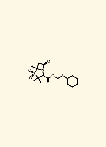 CC1(C)[C@H](C(=O)OCSC2CCCCC2)N2C(=O)C[C@H]2S1(=O)=O